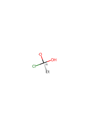 CC[C@]([O])(O)Cl